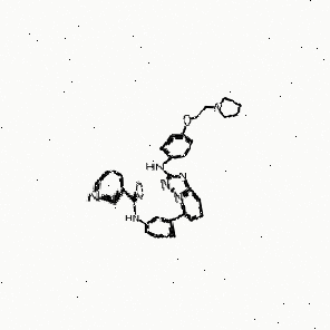 O=C(Nc1cccc(-c2cccc3nc(Nc4ccc(OCCN5CCCC5)cc4)nn23)c1)c1cccnc1